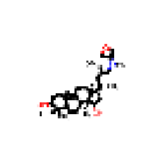 COC(C[C@@H](C)[C@H]1C[C@H](O)[C@@]2(C)C3CC[C@H]4C(C)(C)C(O)CCC45CC35CCC12C)CN(C(C)=O)C1COC1